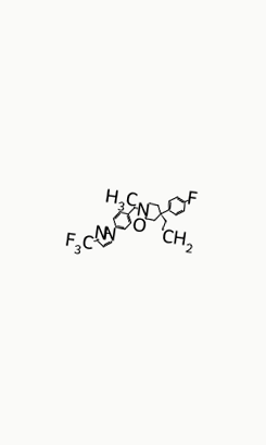 C=CC[C@]1(c2ccc(F)cc2)CCN([C@@H](C)c2ccc(-n3ccc(C(F)(F)F)n3)cc2)C(=O)C1